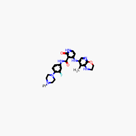 Cc1c(Nc2cc[nH]c(=O)c2C(=O)Nc2ccc(N3CCN(C(C)C)CC3)c(F)c2)cnc2c1NCCO2